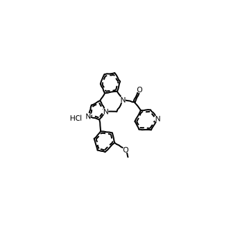 COc1cccc(-c2ncc3n2CN(C(=O)c2cccnc2)c2ccccc2-3)c1.Cl